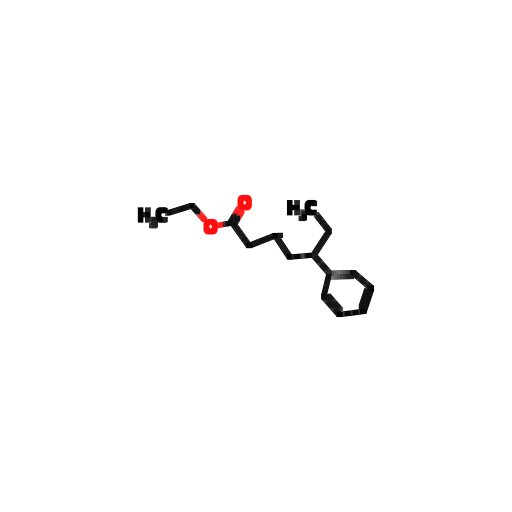 CCOC(=O)C[CH]CC(CC)c1ccccc1